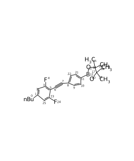 CCCCc1cc(F)c(C#Cc2ccc(B3OC(C)(C)C(C)(C)O3)cc2)c(F)c1